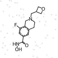 O=C(NO)c1cc(F)c2c(c1)CCN(CC1COC1)C2